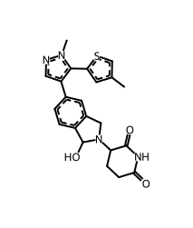 Cc1csc(-c2c(-c3ccc4c(c3)CN(C3CCC(=O)NC3=O)C4O)cnn2C)c1